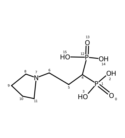 O=P(O)(O)C(CCN1CCCC1)P(=O)(O)O